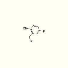 O=Nc1ccc(F)cc1CBr